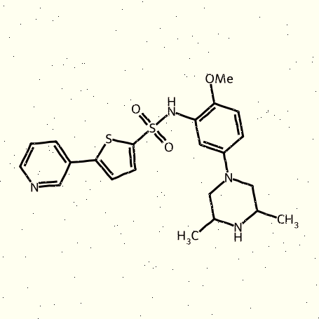 COc1ccc(N2CC(C)NC(C)C2)cc1NS(=O)(=O)c1ccc(-c2cccnc2)s1